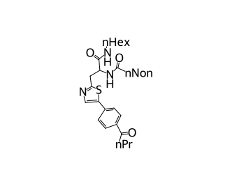 CCCCCCCCCC(=O)NC(Cc1ncc(-c2ccc(C(=O)CCC)cc2)s1)C(=O)NCCCCCC